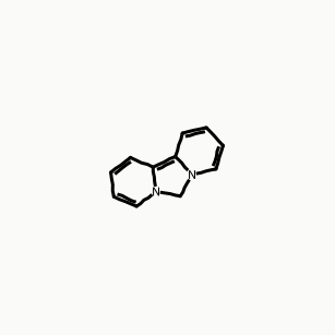 C1=CC2=C3C=CC=CN3CN2C=C1